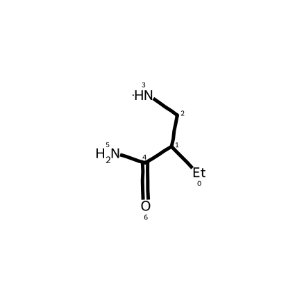 CCC(C[NH])C(N)=O